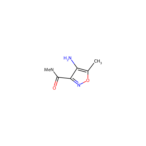 CNC(=O)c1noc(C)c1N